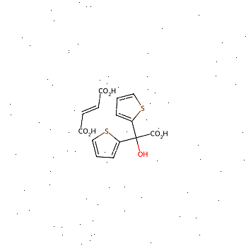 O=C(O)C(O)(c1cccs1)c1cccs1.O=C(O)C=CC(=O)O